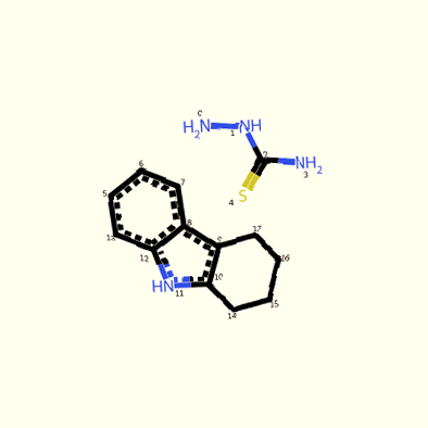 NNC(N)=S.c1ccc2c3c([nH]c2c1)CCCC3